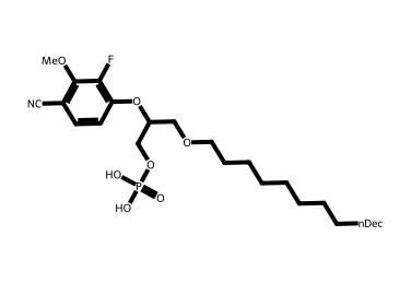 CCCCCCCCCCCCCCCCCCOCC(COP(=O)(O)O)Oc1ccc(C#N)c(OC)c1F